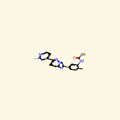 Cc1ccc(-c2cn3nc(-c4ccnc(F)c4)ccc3n2)cc1NC(=O)C(C)(C)C